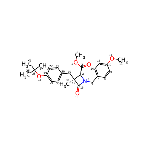 COC(=O)[C@H]1N(Cc2ccc(OC)cc2)C(=O)[C@@]1(C)Cc1ccc(OC(C)(C)C)cc1